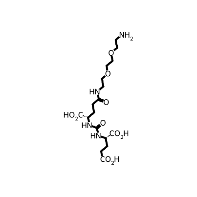 NCCOCCOCCNC(=O)CC[C@H](NC(=O)N[C@@H](CCC(=O)O)C(=O)O)C(=O)O